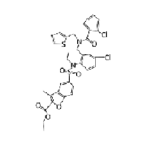 CCOC(=O)c1oc2ccc(S(=O)(=O)N(CC)c3ccc(Cl)cc3CN(Cc3cccs3)C(=O)c3ccccc3Cl)cc2c1C